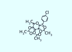 CC(=O)O[C@H]1[C@@H](OC(C)=O)[C@@H](C)O[C@@H](Sc2ccc(Cl)cc2)[C@@H]1OC(C)=O